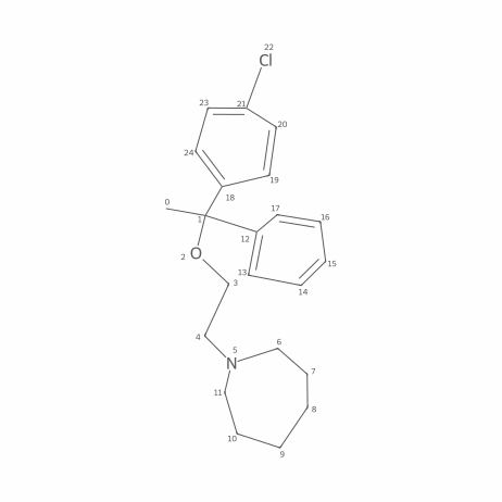 CC(OCCN1CCCCCC1)(c1ccccc1)c1ccc(Cl)cc1